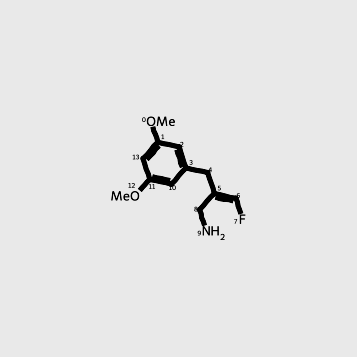 COc1cc(C/C(=C/F)CN)cc(OC)c1